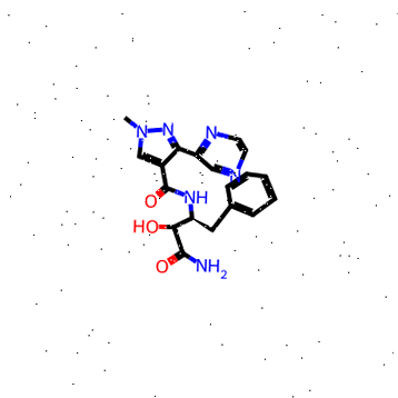 Cn1cc(C(=O)N[C@@H](Cc2ccccc2)C(O)C(N)=O)c(-c2cnccn2)n1